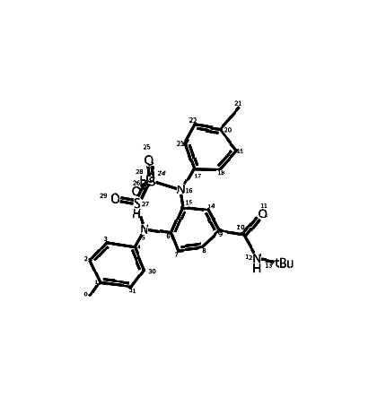 Cc1ccc(N(c2ccc(C(=O)NC(C)(C)C)cc2N(c2ccc(C)cc2)[SH](=O)=O)[SH](=O)=O)cc1